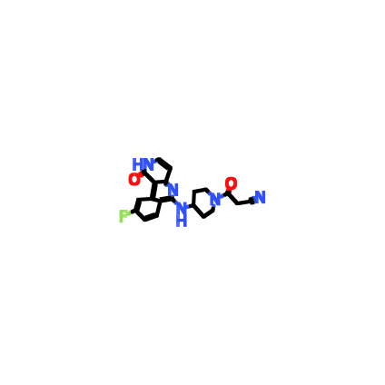 N#CCC(=O)N1CCC(Nc2nc3cc[nH]c(=O)c3c3cc(F)ccc23)CC1